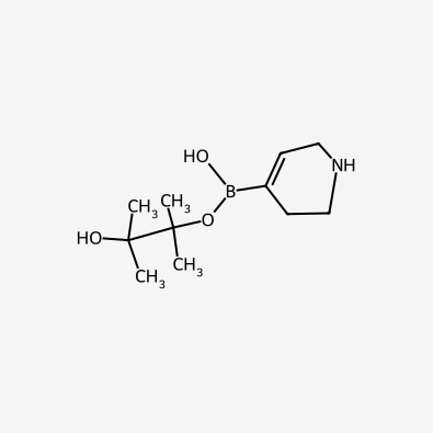 CC(C)(O)C(C)(C)OB(O)C1=CCNCC1